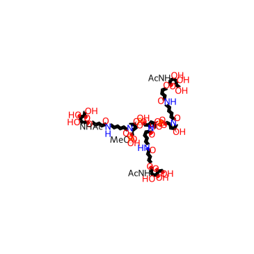 COP(=O)(O)OC[C@@H]1C[C@@H](OP(=O)(O)OCC2C[C@@H](OP(=O)(O)OCC3C[C@@H](O)CN3C(=O)CCCCCNC(=O)CCCCOC3OC(CO)C(O)C(O)C3NC(C)=O)CN2C(=O)CCCCCNC(=O)CCCCOC2OC(CO)C(O)C(O)C2NC(C)=O)CN1C(=O)CCCCCNC(=O)CCCCOC1OC(CO)C(O)C(O)C1NC(C)=O